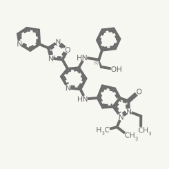 CCn1c(=O)c2ccc(Nc3cc(N[C@H](CO)c4ccccc4)c(-c4nc(-c5cccnc5)no4)cn3)cc2n1C(C)C